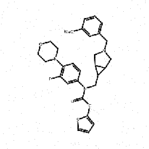 COc1cccc(CN2CC3C(C2)C3CN(C(=O)Oc2cccs2)c2ccc(N3CCOCC3)c(F)c2)c1